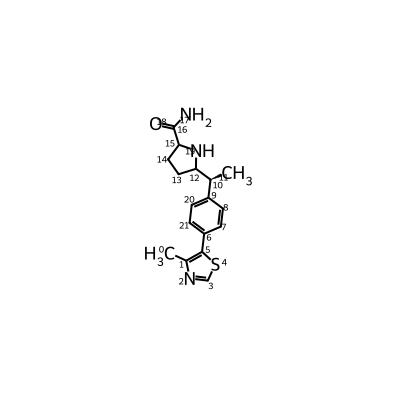 Cc1ncsc1-c1ccc([C@H](C)C2CCC(C(N)=O)N2)cc1